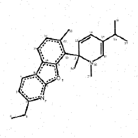 CCc1ccc2c(n1)oc1c(C3(C)C=CC(C(C)C)=CN3C)c(C)ccc12